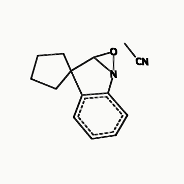 CC#N.c1ccc2c(c1)N1OC1C21CCCC1